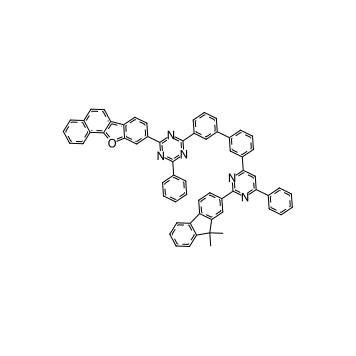 CC1(C)c2ccccc2-c2ccc(-c3nc(-c4ccccc4)cc(-c4cccc(-c5cccc(-c6nc(-c7ccccc7)nc(-c7ccc8c(c7)oc7c9ccccc9ccc87)n6)c5)c4)n3)cc21